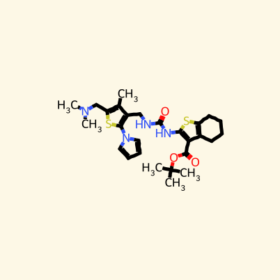 Cc1c(CN(C)C)sc(-n2cccc2)c1CNC(=O)Nc1sc2c(c1C(=O)OC(C)(C)C)CCCC2